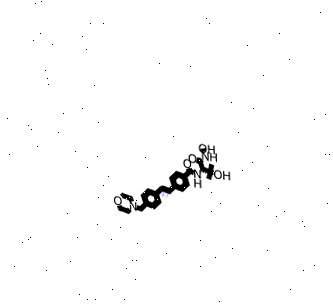 CC(C)(O)[C@H](NC(=O)c1ccc(/C=C/c2ccc(CN3CCOCC3)cc2)cc1)C(=O)NO